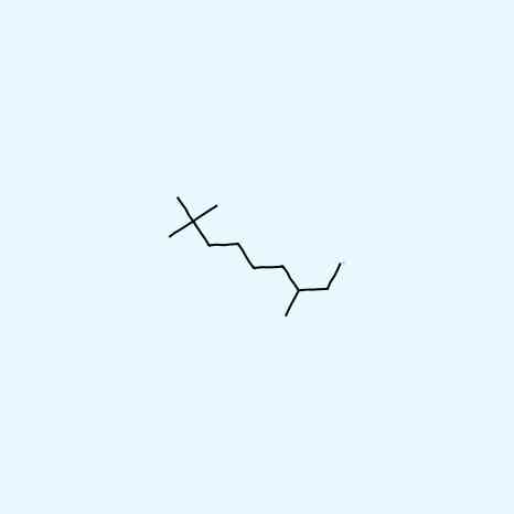 [CH2]CC(C)CCCCC(C)(C)C